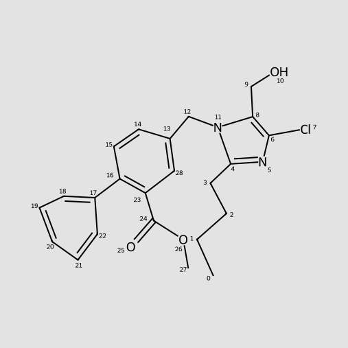 CCCCc1nc(Cl)c(CO)n1Cc1ccc(-c2ccccc2)c(C(=O)OC)c1